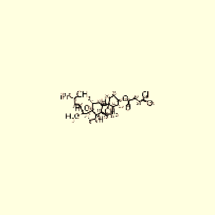 CC(C)[C@@H](C)/C=C/[C@@H](C)[C@H]1CC[C@H]2C3=CC=C4C[C@@H](OC(=O)CCC(=O)Cl)CC[C@]4(C)[C@H]3CC[C@]12C